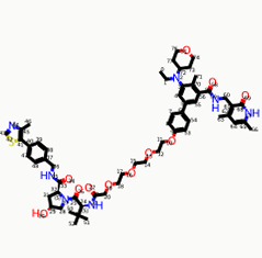 CCN(c1cc(-c2ccc(OCCOCCOCCOCC(=O)N[C@H](C(=O)N3C[C@H](O)C[C@H]3C(=O)NCc3ccc(-c4scnc4C)cc3)C(C)(C)C)cc2)cc(C(=O)NCc2c(C)cc(C)[nH]c2=O)c1C)C1CCOCC1